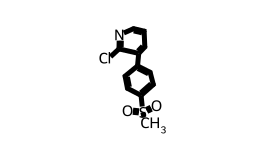 CS(=O)(=O)c1ccc(-c2cccnc2Cl)cc1